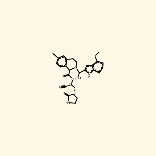 COc1cccc2[nH]c(C(O)N3CCc4cc(C)ccc4C3C(=O)N[C@H](C#N)C[C@@H]3CCNC3=O)cc12